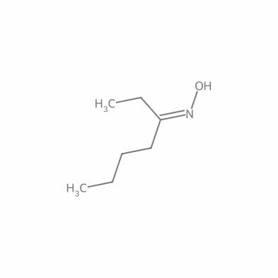 CCCC/C(CC)=N/O